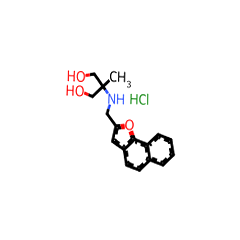 CC(CO)(CO)NCc1cc2ccc3ccccc3c2o1.Cl